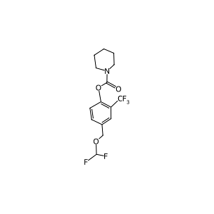 O=C(Oc1ccc(COC(F)F)cc1C(F)(F)F)N1CCCCC1